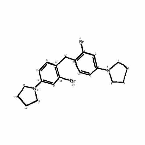 Brc1cc(N2CCCC2)ccc1Cc1ccc(N2CCCC2)cc1Br